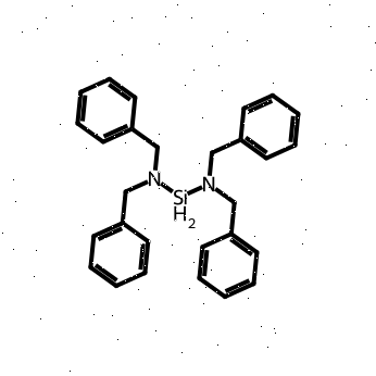 c1ccc(CN(Cc2ccccc2)[SiH2]N(Cc2ccccc2)Cc2ccccc2)cc1